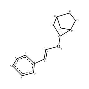 C(=Cc1ccccc1)OC1CC2CCC1C2